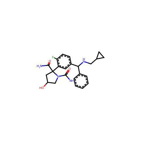 NC(=O)N1CC(O)CC1(C(N)=O)c1cc(C(NCC2CC2)c2ccccc2)ccc1F